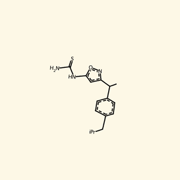 CC(C)Cc1ccc(C(C)c2cc(NC(N)=S)on2)cc1